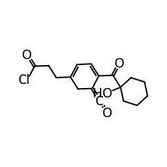 O=C=C1CC(CCC(=O)Cl)=CC=C1C(=O)C1(O)CCCCC1